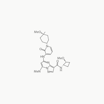 CNc1cc(Nc2cccn([C@H]3CC[C@](C)(OC)CC3)c2=O)nc2c(C(=O)N[C@H]3CC[C@@H]3OC)cnn12